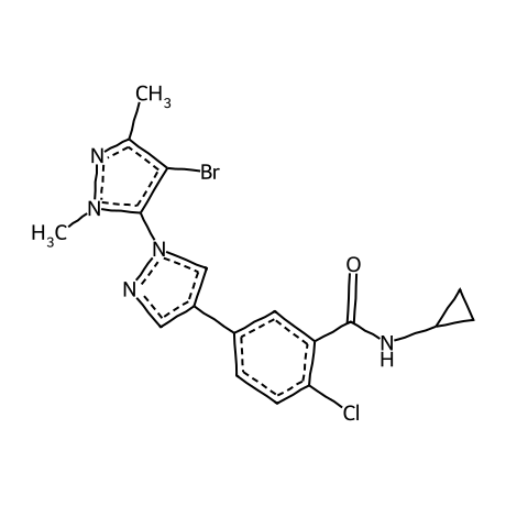 Cc1nn(C)c(-n2cc(-c3ccc(Cl)c(C(=O)NC4CC4)c3)cn2)c1Br